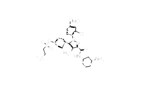 Cc1c(C(=O)N[C@H]2CCC[C@H](N)C2)nn(-c2ccc(Cl)cc2Cl)c1-c1ccc(OS(=O)(=O)CCC(F)(F)F)cc1.Cl